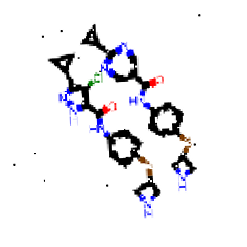 O=C(Nc1ccc(SC2CNC2)cc1)c1[nH]nc(C2CC2)c1Cl.O=C(Nc1ccc(SC2CNC2)cc1)c1cnc(C2CC2)nc1